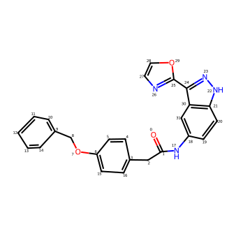 O=C(Cc1ccc(OCc2ccccc2)cc1)Nc1ccc2[nH]nc(-c3ncco3)c2c1